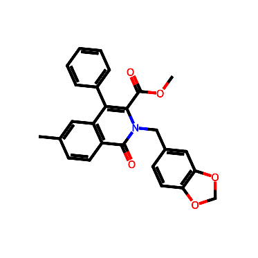 COC(=O)c1c(-c2ccccc2)c2cc(C)ccc2c(=O)n1Cc1ccc2c(c1)OCO2